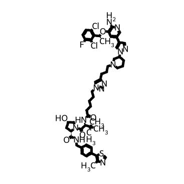 Cc1ncsc1-c1ccc(CNC(=O)[C@@H]2C[C@@H](O)CN2C(=O)[C@@H](NC(=O)CCCCCn2cc(CCCN3CCCC(n4cc(-c5cnc(N)c(O[C@H](C)c6c(Cl)ccc(F)c6Cl)c5)cn4)C3)nn2)C(C)(C)C)cc1